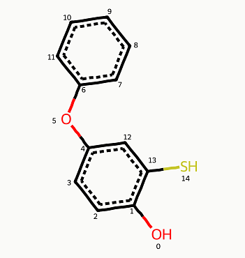 Oc1ccc(Oc2ccccc2)cc1S